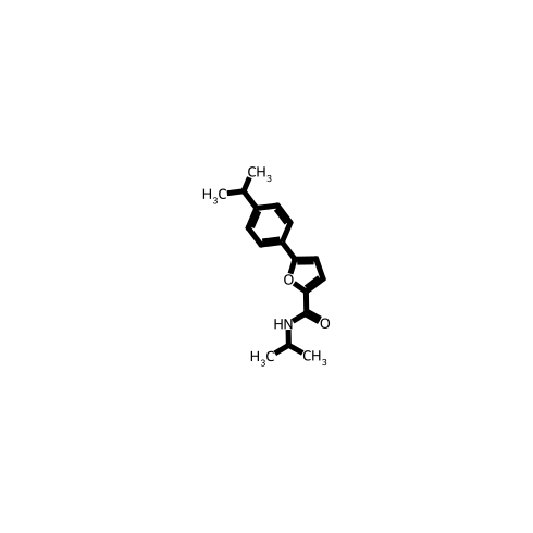 CC(C)NC(=O)c1ccc(-c2ccc(C(C)C)cc2)o1